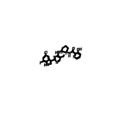 O=C(N[C@@H]1CCC[C@H](Nc2nc(-c3c[nH]c4c(F)cc(Cl)cc34)ncc2F)C1)c1ncccc1O